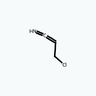 N=C=CCCl